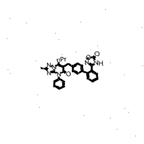 CCCc1c(Cc2ccc(-c3ccccc3-c3noc(=O)[nH]3)cc2)c(=O)n(-c2ccccc2)c2nc(C)nn12